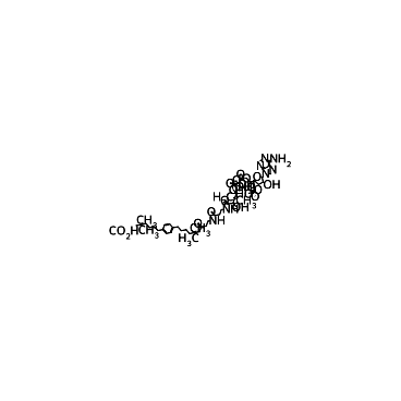 CC(C)(CCCCc1ccc(CCCCC(C)(C)CC(=O)CCNC(=O)CCNC(=O)C(O)C(C)(C)COP(=O)(O)OP(=O)(O)OCC2OC(n3cnc4c(N)ncnc43)C(O)C2OP(=O)(O)O)cc1)CC(=O)O